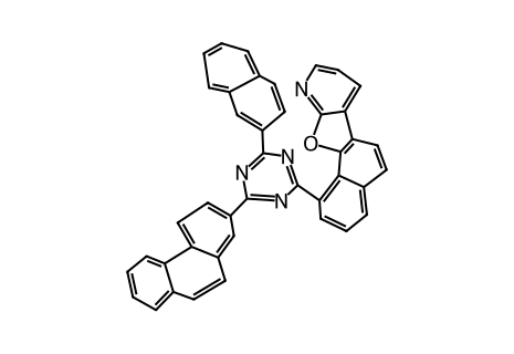 c1ccc2cc(-c3nc(-c4ccc5c(ccc6ccccc65)c4)nc(-c4cccc5ccc6c7cccnc7oc6c45)n3)ccc2c1